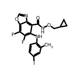 Cc1cc(I)ccc1Nc1c(F)c(F)c2ocnc2c1C(=O)NOCC1CC1